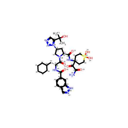 CC(C)(O)c1cnnn1[C@H]1C[C@@H](C(=O)NC2(C(=O)C(N)=O)CCS(O)(O)CC2)N(C(=O)[C@@H](CC2CCCCC2)NC(=O)c2ccc3cn[nH]c3c2)C1